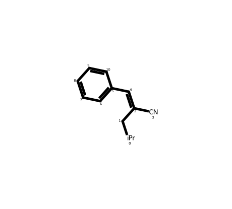 CC(C)CC(C#N)=Cc1ccccc1